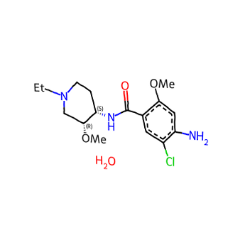 CCN1CC[C@H](NC(=O)c2cc(Cl)c(N)cc2OC)[C@H](OC)C1.O